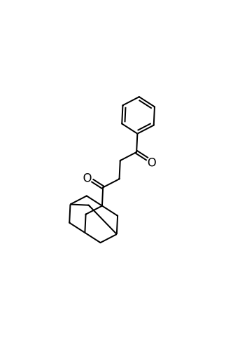 O=C(CCC(=O)C12CC3CC(CC(C3)C1)C2)c1ccccc1